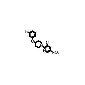 O=[N+]([O-])c1cnc(N2CCC(Oc3cccc(F)c3)CC2)c(Cl)c1